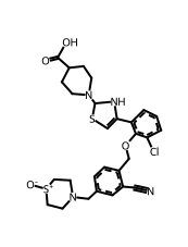 N#Cc1cc(CN2CC[S+]([O-])CC2)ccc1COc1c(Cl)cccc1C1=CSC(N2CCC(C(=O)O)CC2)N1